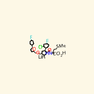 CSCC[C@H](NC(=O)c1ccc(COCc2ccc(-c3ccc(F)cc3)o2)cc1-c1ccc(F)cc1Cl)C(=O)O.[LiH]